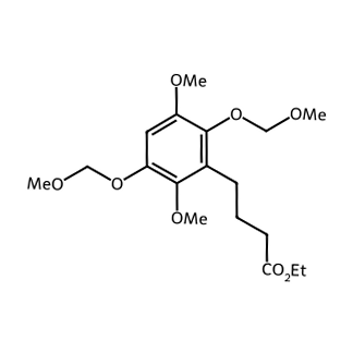 CCOC(=O)CCCc1c(OC)c(OCOC)cc(OC)c1OCOC